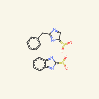 O=S(=O)=C1C=NC(Cc2ccccc2)=N1.O=S(=O)=C1N=c2ccccc2=N1